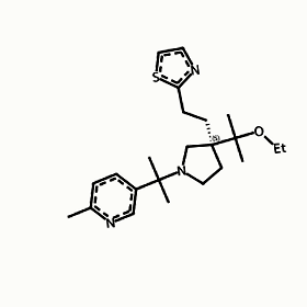 CCOC(C)(C)[C@@]1(CCc2nccs2)CCN(C(C)(C)c2ccc(C)nc2)C1